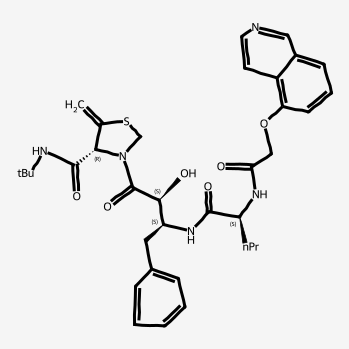 C=C1SCN(C(=O)[C@@H](O)[C@H](Cc2ccccc2)NC(=O)[C@H](CCC)NC(=O)COc2cccc3cnccc23)[C@@H]1C(=O)NC(C)(C)C